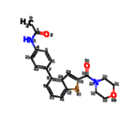 CC(=O)Nc1ccc(-c2cccc3sc(C(=O)N4CCOCC4)cc23)cc1